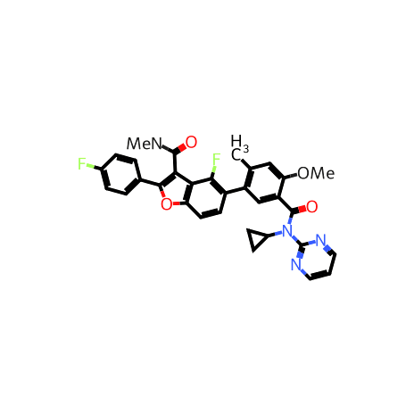 CNC(=O)c1c(-c2ccc(F)cc2)oc2ccc(-c3cc(C(=O)N(c4ncccn4)C4CC4)c(OC)cc3C)c(F)c12